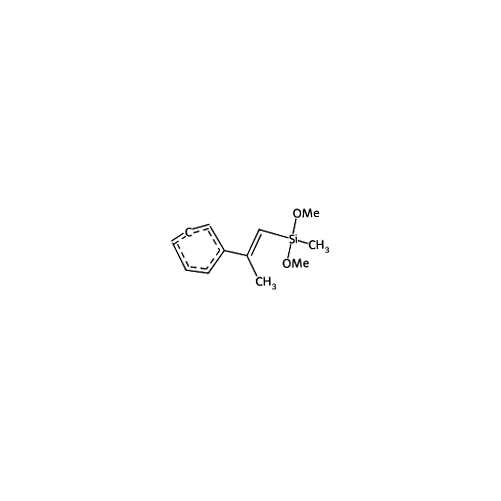 CO[Si](C)(C=C(C)c1ccccc1)OC